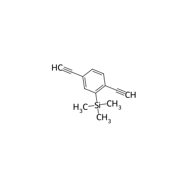 C#Cc1ccc(C#C)c([Si](C)(C)C)c1